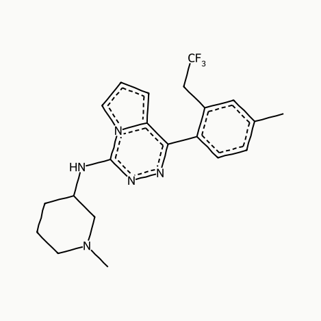 Cc1ccc(-c2nnc(NC3CCCN(C)C3)n3cccc23)c(CC(F)(F)F)c1